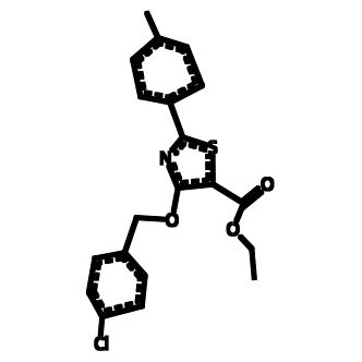 CCOC(=O)c1sc(-c2ccc(C)cc2)nc1OCc1ccc(Cl)cc1